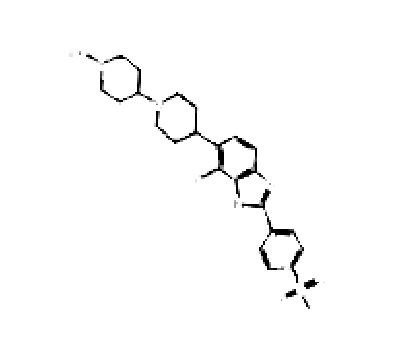 CC(C)N1CCC(N2CCC(c3ccc4nc(-c5ccc(S(C)(=O)=O)cc5)[nH]c4c3F)CC2)CC1